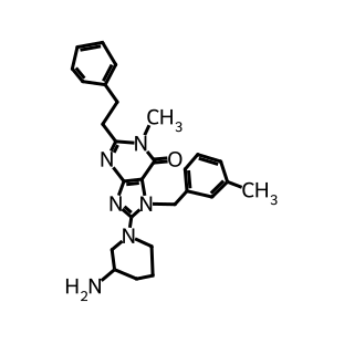 Cc1cccc(Cn2c(N3CCCC(N)C3)nc3nc(CCc4ccccc4)n(C)c(=O)c32)c1